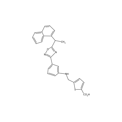 CC(c1nc(-c2cccc(NCc3ccc(C(=O)O)s3)c2)no1)c1cccc2ccccc12